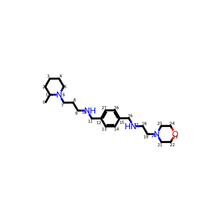 CC1CCCCN1CCCNCc1ccc(CNCCN2CCOCC2)cc1